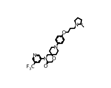 C[C@@H]1CCCN1CCCOc1ccc(N2CCC3(CC2)CN(c2cncc(C(F)(F)F)c2)C(=O)CO3)cc1